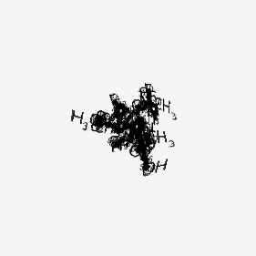 C[C@H]1CC(F)(F)c2c1c(C(F)(F)F)nn2CC(=O)N[C@@H](Cc1cc(F)cc(F)c1)c1nc(C#CC(C)(C)S(C)(=O)=O)ccc1-c1ccc(Cl)c2c(N(C(=O)OCCCO)S(C)(=O)=O)nn(CC(F)(F)F)c12